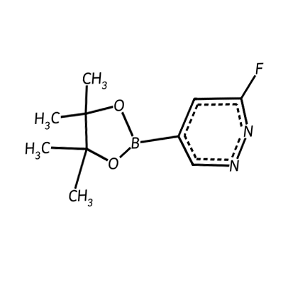 CC1(C)OB(c2cnnc(F)c2)OC1(C)C